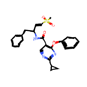 CS(=O)(=O)/C=C/C(Cc1ccccc1)NC(=O)c1cnc(C2CC2)nc1Oc1ccccc1